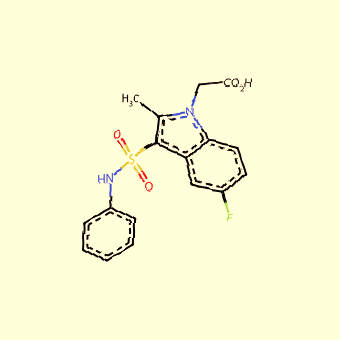 Cc1c(S(=O)(=O)Nc2ccccc2)c2cc(F)ccc2n1CC(=O)O